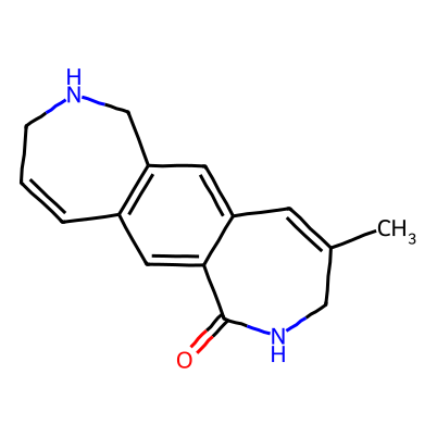 CC1=Cc2cc3c(cc2C(=O)NC1)C=CCNC3